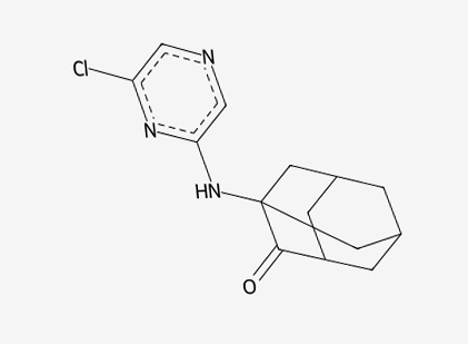 O=C1C2CC3CC(C2)CC1(Nc1cncc(Cl)n1)C3